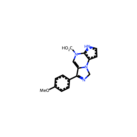 COc1ccc(C2=NCN3C2=CN(C(=O)O)c2[nH]ccc23)cc1